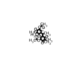 CC(=O)OC1=CC(=C(C)C2C=C(OC(C)=O)C(=O)C(C)(C)C2=O)C(=O)C(C)(C)C1=O